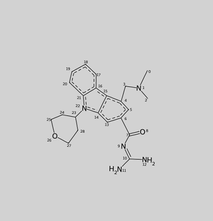 CN(C)Cc1cc(C(=O)N=C(N)N)cc2c1c1ccccc1n2C1CCOCC1